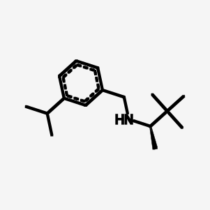 CC(C)c1cccc(CN[C@H](C)C(C)(C)C)c1